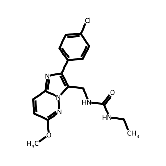 CCNC(=O)NCc1c(-c2ccc(Cl)cc2)nc2ccc(OC)nn12